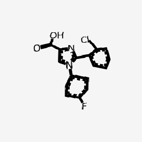 O=C(O)c1cn(-c2ccc(F)cc2)c(-c2ccccc2Cl)n1